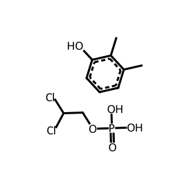 Cc1cccc(O)c1C.O=P(O)(O)OCC(Cl)Cl